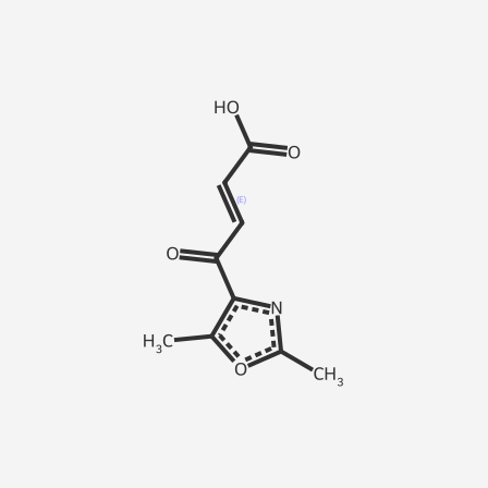 Cc1nc(C(=O)/C=C/C(=O)O)c(C)o1